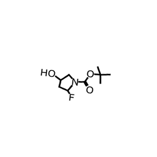 CC(C)(C)OC(=O)N1CC(O)CC1F